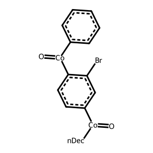 CCCCCCCCC[CH2][Co](=[O])[c]1cc[c]([Co](=[O])[c]2ccccc2)c(Br)c1